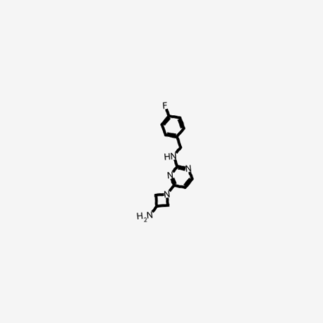 NC1CN(c2ccnc(NCc3ccc(F)cc3)n2)C1